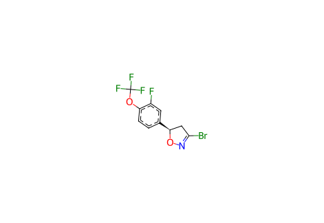 Fc1cc([C@H]2CC(Br)=NO2)ccc1OC(F)(F)F